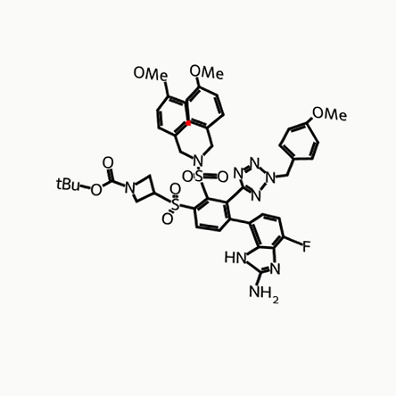 COc1ccc(CN(Cc2ccc(OC)cc2)S(=O)(=O)c2c(S(=O)(=O)C3CN(C(=O)OC(C)(C)C)C3)ccc(-c3ccc(F)c4nc(N)[nH]c34)c2-c2nnn(Cc3ccc(OC)cc3)n2)cc1